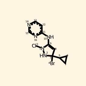 ClN1NC(Br)(C2CC2)C=C1Nc1ccncn1